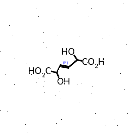 O=C(O)C(O)/C=C/C(O)C(=O)O